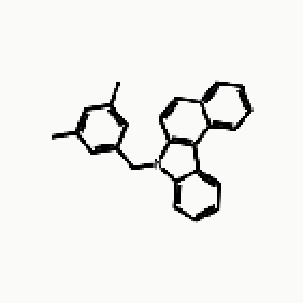 Cc1cc(C)cc(Cn2c3ccccc3c3c4ccccc4ccc32)c1